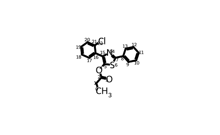 CCC(=O)Oc1sc(-c2ccccc2)nc1-c1ccccc1Cl